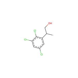 [CH2]C(CO)c1cc(Cl)cc(Cl)c1Cl